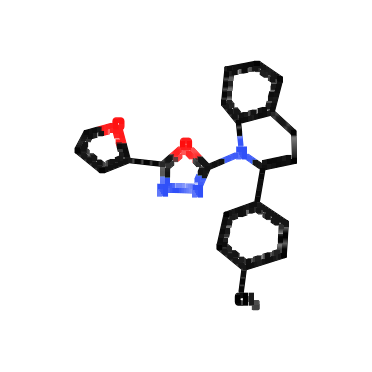 Cc1ccc(C2=CCc3ccccc3N2c2nnc(-c3ccco3)o2)cc1